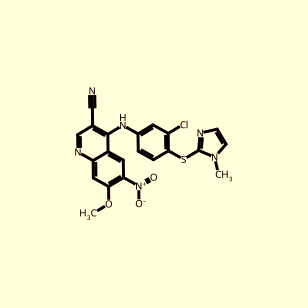 COc1cc2ncc(C#N)c(Nc3ccc(Sc4nccn4C)c(Cl)c3)c2cc1[N+](=O)[O-]